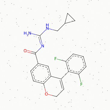 N/C(=N\C(=O)c1ccc2c(c1)C(c1c(F)cccc1F)=CCO2)NCC1CC1